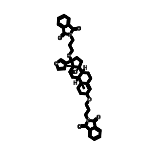 C[C@]12CCC(OCCCN3C(=O)c4ccccc4C3=O)C=C1CC[C@@H]1[C@H]2CC[C@]2(C)C(OCCCN3C(=O)c4ccccc4C3=O)(c3ccoc3)CC[C@@]12O